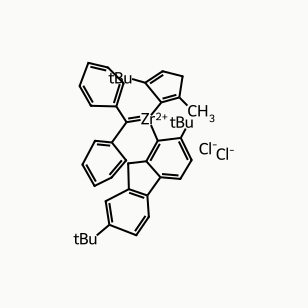 CC1=[C]([Zr+2](=[C](c2ccccc2)c2ccccc2)[c]2c(C(C)(C)C)ccc3c2Cc2cc(C(C)(C)C)ccc2-3)C(C(C)(C)C)=CC1.[Cl-].[Cl-]